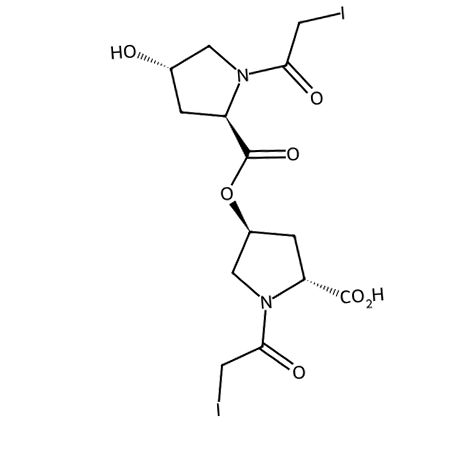 O=C(O)[C@H]1C[C@H](OC(=O)[C@H]2C[C@H](O)CN2C(=O)CI)CN1C(=O)CI